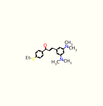 CCSc1ccc(C(=O)C=Cc2cc(N(C)C)cc(N(C)C)c2)cc1